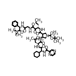 CCC[C@H](NC(=O)C1CN(C(=O)OC(C)(C)C)CC1NC(=O)[C@H](CC(C)C)NC(=O)[C@@H](NC(=O)c1cnccn1)C1CCCCC1)C(=O)C(=O)NCC(=O)N[C@H](C(=O)N(C)C)c1ccccc1